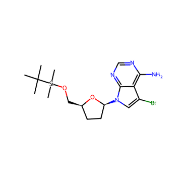 CC(C)(C)[Si](C)(C)OC[C@@H]1CC[C@H](n2cc(Br)c3c(N)ncnc32)O1